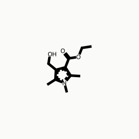 CCOC(=O)c1c(CO)c(C)n(C)c1C